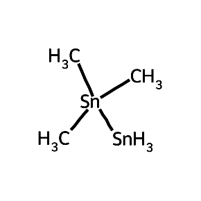 [CH3][Sn]([CH3])([CH3])[SnH3]